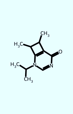 CC1c2c(n(C(C)C)cnc2=O)C1C